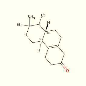 CCC1[C@@H]2CCC3=C(CCC(=O)C3)[C@H]2CCC1(C)CC